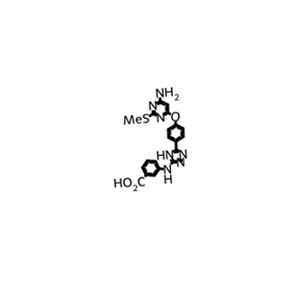 CSc1nc(N)cc(Oc2ccc(-c3nnc(Nc4cccc(C(=O)O)c4)[nH]3)cc2)n1